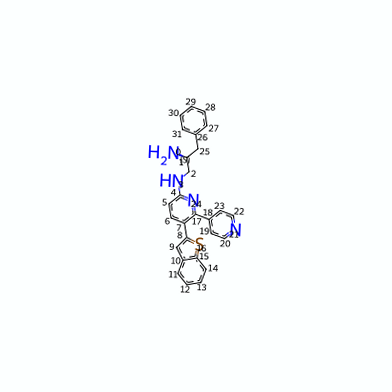 N[C@H](CNc1ccc(-c2cc3ccccc3s2)c(-c2ccncc2)n1)Cc1ccccc1